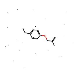 C=C(C)COc1ccc(CC)cc1